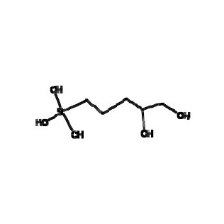 OCC(O)CCC[Si](O)(O)O